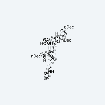 CCCCCCCCCCCC(=O)O[C@H](CCCCCCCCCCC)CC(=O)N[C@H](CCOP(=O)(O)O)C(=O)NCCC[C@H](COC(=O)CCCCCNC(=O)CBr)NC(=O)C[C@H](O)CCCCCCCCCCC